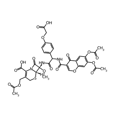 CO[C@@]1(NC(=O)C(NC(=O)c2coc3cc(OC(C)=O)c(OC(C)=O)cc3c2=O)c2ccc(OCC(=O)O)cc2)C(=O)N2C(C(=O)O)=C(COC(C)=O)CS[C@H]21